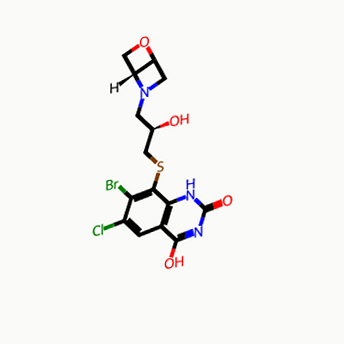 O=c1nc(O)c2cc(Cl)c(Br)c(SC[C@H](O)CN3CC4OC[C@H]43)c2[nH]1